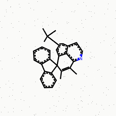 CC1=C(C)C2(c3ccccc3-c3ccccc32)c2cc(C(C)(C)C)cc3ccnc1c23